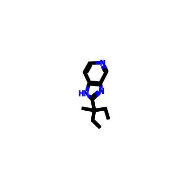 CCC(C)(CC)c1nc2cnccc2[nH]1